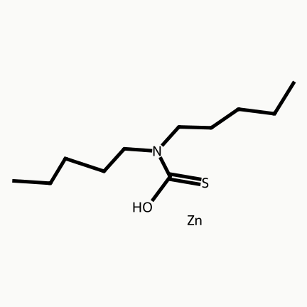 CCCCCN(CCCCC)C(O)=S.[Zn]